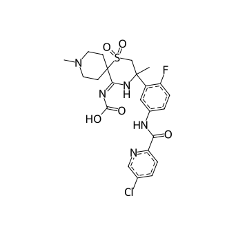 CN1CCC2(CC1)C(=NC(=O)O)NC(C)(c1cc(NC(=O)c3ccc(Cl)cn3)ccc1F)CS2(=O)=O